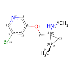 CN[C@@]1(COc2cncc(Br)c2)C[C@H]1C